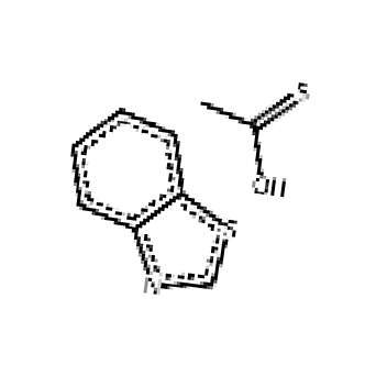 CC(O)=S.c1ccc2scnc2c1